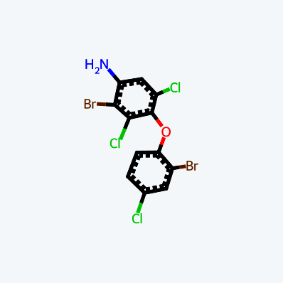 Nc1cc(Cl)c(Oc2ccc(Cl)cc2Br)c(Cl)c1Br